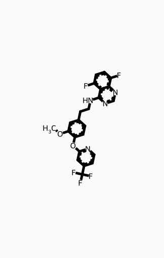 COc1cc(CCNc2ncnc3c(F)ccc(F)c23)ccc1Oc1cc(C(F)(F)F)ccn1